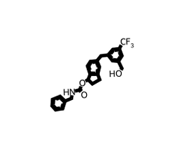 O=C(NCc1ccccc1)OC1CCc2cc(Cc3cc(CO)cc(C(F)(F)F)c3)ccc21